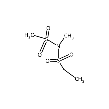 CCS(=O)(=O)N(C)S(C)(=O)=O